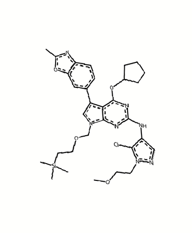 COCCn1ncc(Nc2nc(OC3CCCC3)c3c(-c4ccc5nc(C)oc5c4)cn(COCC[Si](C)(C)C)c3n2)c1Cl